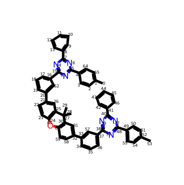 Cc1ccc(-c2nc(-c3ccccc3)nc(-c3cccc(-c4ccc5c(c4)C(C)(C)c4cc(-c6cccc(-c7nc(-c8ccccc8)nc(-c8ccc(C)cc8)n7)c6)ccc4O5)c3)n2)cc1